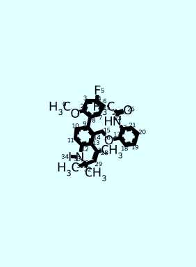 COc1cc(F)ccc1-c1ccc2c(c1COc1ccccc1NC(C)=O)C(C)=CC(C)(C)N2I